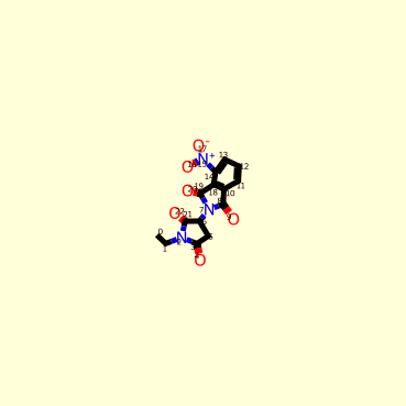 CCN1C(=O)CC(N2C(=O)c3cccc([N+](=O)[O-])c3C2=O)C1=O